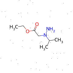 CCOC(=O)CN(N)C(C)C